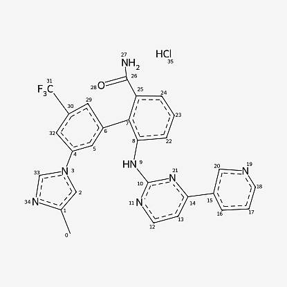 Cc1cn(-c2cc(-c3c(Nc4nccc(-c5cccnc5)n4)cccc3C(N)=O)cc(C(F)(F)F)c2)cn1.Cl